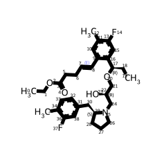 CCOC(=O)CC/C=C/c1cc(C)c(F)cc1[C@@H](CC)OC[C@H](O)CN1CCC[C@H]1Cc1ccc(C)c(F)c1